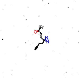 C#CCCC1(CCC(=O)C(C)C)N=N1